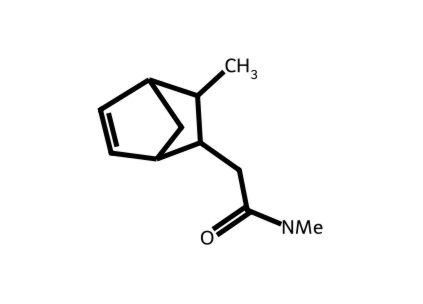 CNC(=O)CC1C2C=CC(C2)C1C